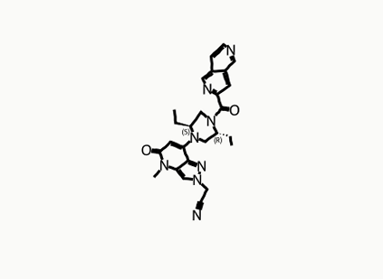 CC[C@@H]1CN(c2cc(=O)n(C)c3cn(CC#N)nc23)[C@@H](CC)CN1C(=O)c1cc2cnccc2cn1